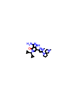 CN1CCC2(CCCN2c2cc(-c3cn(C(C4CC4)C4CC4)c(=O)c4c(N)n[nH]c34)nn2C)C1